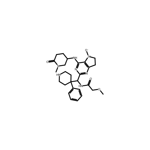 COCC(=O)NC(c1nc2c(c(NC3CCC(=O)N(C)C3)n1)[S+]([O-])CC2)C1(c2ccccc2)CCNCC1